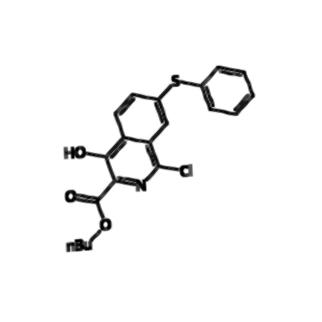 CCCCOC(=O)c1nc(Cl)c2cc(Sc3ccccc3)ccc2c1O